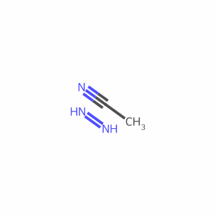 CC#N.N=N